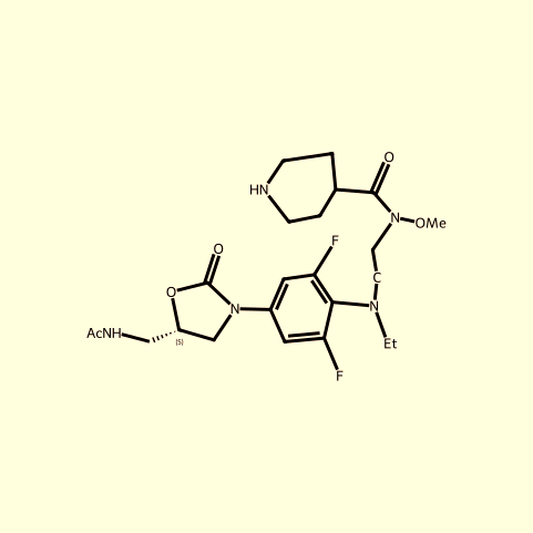 CCN(CCN(OC)C(=O)C1CCNCC1)c1c(F)cc(N2C[C@H](CNC(C)=O)OC2=O)cc1F